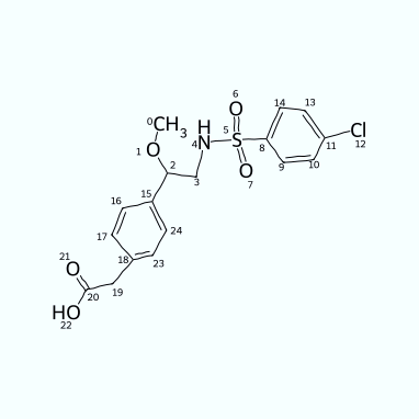 COC(CNS(=O)(=O)c1ccc(Cl)cc1)c1ccc(CC(=O)O)cc1